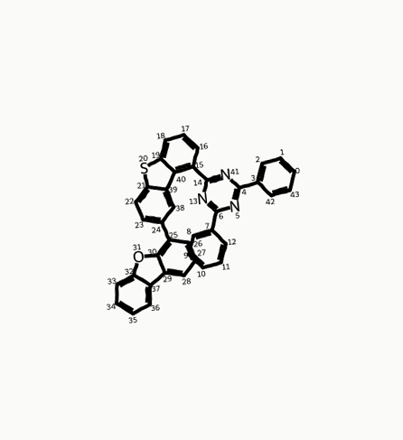 c1ccc(-c2nc(-c3ccccc3)nc(-c3cccc4sc5ccc(-c6cccc7c6oc6ccccc67)cc5c34)n2)cc1